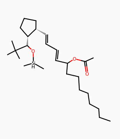 CCCCCCCCC(C=CC=C[C@H]1CCC[C@H]1C(O[SiH](C)C)C(C)(C)C)OC(C)=O